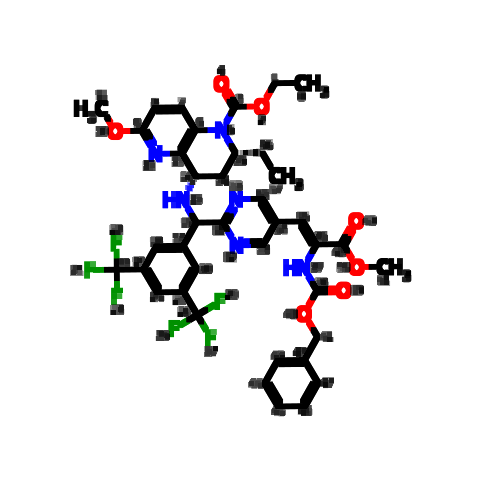 CCOC(=O)N1c2ccc(OC)nc2[C@@H](NC(c2cc(C(F)(F)F)cc(C(F)(F)F)c2)c2ncc(/C=C(\NC(=O)OCc3ccccc3)C(=O)OC)cn2)C[C@H]1CC